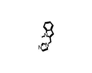 Cn1c(Cn2ccnc2)cc2ccccc21